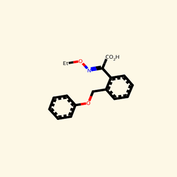 CCON=C(C(=O)O)c1ccccc1COc1ccccc1